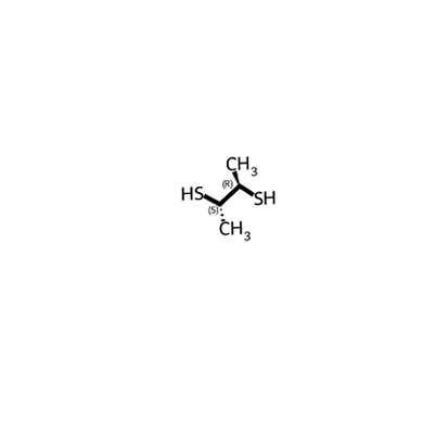 C[C@H](S)[C@@H](C)S